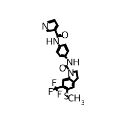 CSc1cc2c(cc1C(F)(F)F)N(C(=O)Nc1ccc(NC(=O)c3cccnc3)cc1)CC2